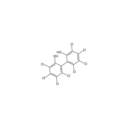 Oc1c(Cl)c(Cl)c(Cl)c(Cl)c1-c1c(O)c(Cl)c(Cl)c(Cl)c1Cl